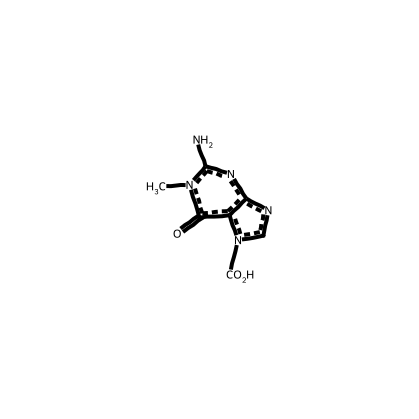 Cn1c(N)nc2ncn(C(=O)O)c2c1=O